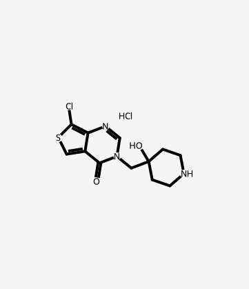 Cl.O=c1c2csc(Cl)c2ncn1CC1(O)CCNCC1